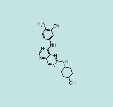 N#Cc1cc(Nc2ncnc3cnc(N[C@H]4CC[C@H](O)CC4)nc23)ccc1N